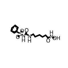 O=C(CCCCCNC(=O)NS(=O)(=O)c1ccccc1)NO